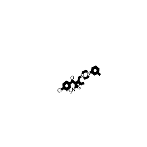 Cc1cccc(N2CCN(Cc3c(C)sc(N)c3C(=O)c3ccc(Cl)cc3)CC2)c1